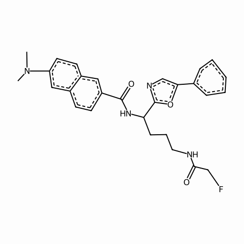 CN(C)c1ccc2cc(C(=O)NC(CCCNC(=O)CF)c3ncc(-c4ccccc4)o3)ccc2c1